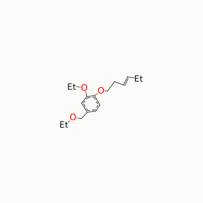 CCC=CCCOc1ccc(COCC)cc1OCC